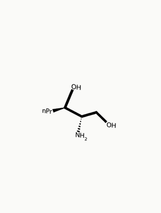 CCC[C@@H](O)[C@@H](N)CO